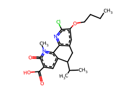 CCCCOc1cc2c(nc1Cl)-c1c(cc(C(=O)O)c(=O)n1C)C(C(C)C)C2